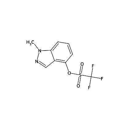 Cn1ncc2c(OS(=O)(=O)C(F)(F)F)cccc21